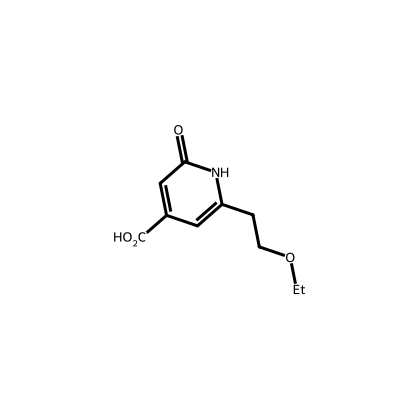 CCOCCc1cc(C(=O)O)cc(=O)[nH]1